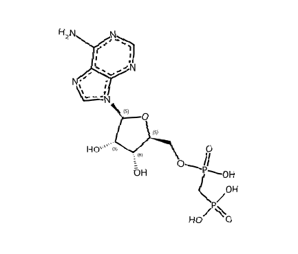 Nc1ncnc2c1ncn2[C@H]1O[C@@H](COP(=O)(O)CP(=O)(O)O)[C@H](O)[C@@H]1O